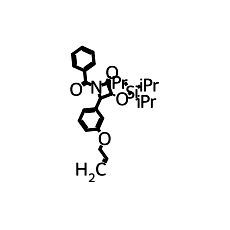 C=CCOc1cccc(C2[C@@H](O[Si](C(C)C)(C(C)C)C(C)C)C(=O)N2C(=O)c2ccccc2)c1